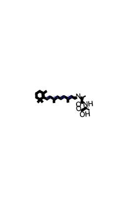 CC1=C(/C=C/C(C)=C/C=C/C(C)=C/C=N[C@@H](C)C(=O)N[C@@H](C)C(=O)O)C(C)(C)CCC1